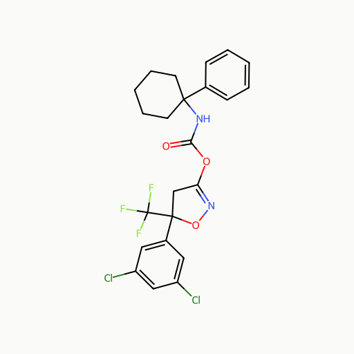 O=C(NC1(c2ccccc2)CCCCC1)OC1=NOC(c2cc(Cl)cc(Cl)c2)(C(F)(F)F)C1